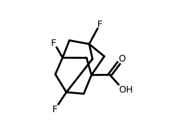 O=C(O)C12CC3(F)CC(F)(CC(F)(C3)C1)C2